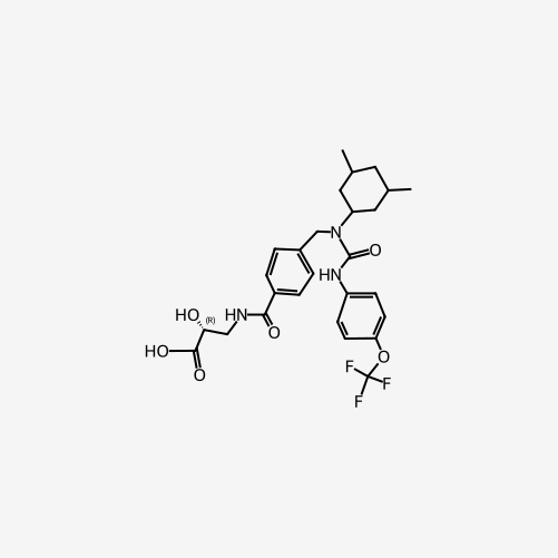 CC1CC(C)CC(N(Cc2ccc(C(=O)NC[C@@H](O)C(=O)O)cc2)C(=O)Nc2ccc(OC(F)(F)F)cc2)C1